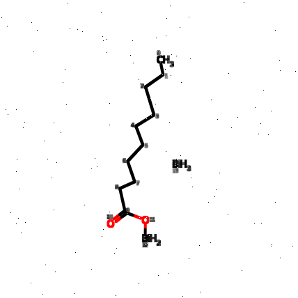 CCCCCCCCCC(=O)[O][BiH2].[BiH3]